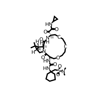 CN(C)S(=O)(=O)CC1(NC(=O)N[C@H]2COCCCCCCC[C@@H](C(=O)C(=O)NC3CC3)NC(=O)[C@@H]3[C@@H]4[C@H](CN3C2=O)C4(C)C)CCCCC1